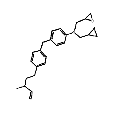 C=CC(C)CCc1ccc(Cc2ccc(N(CC3CC3)CC3CO3)cc2)cc1